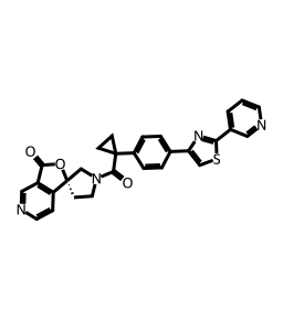 O=C1O[C@]2(CCN(C(=O)C3(c4ccc(-c5csc(-c6cccnc6)n5)cc4)CC3)C2)c2ccncc21